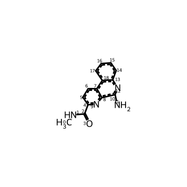 CNC(=O)c1ccc2c(n1)c(N)nc1ccccc12